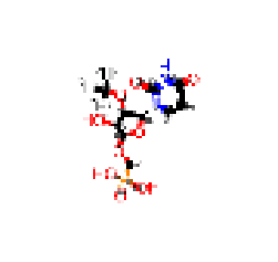 [2H]C([2H])([2H])O[C@@H]1[C@H](O)C(OCP(=O)(O)O)O[C@H]1n1ccc(=O)[nH]c1=O